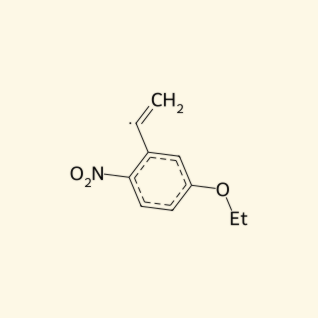 C=[C]c1cc(OCC)ccc1[N+](=O)[O-]